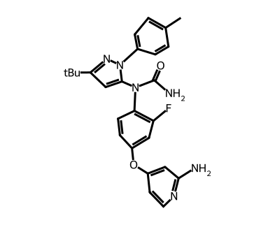 Cc1ccc(-n2nc(C(C)(C)C)cc2N(C(N)=O)c2ccc(Oc3ccnc(N)c3)cc2F)cc1